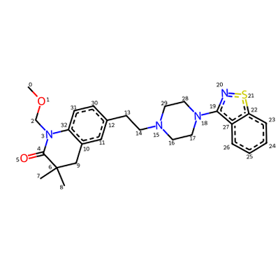 COCN1C(=O)C(C)(C)Cc2cc(CCN3CCN(c4nsc5ccccc45)CC3)ccc21